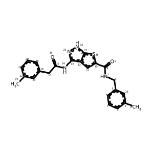 Cc1cccc(CNC(=O)c2cc3c(NC(=O)Cc4cccc(C)c4)n[nH]c3s2)c1